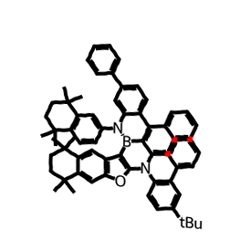 CC(C)(C)c1ccc(N2c3cc4ccccc4c4c3B(c3c2oc2cc5c(cc32)C(C)(C)CCC5(C)C)N(c2ccc3c(c2)C(C)(C)CCC3(C)C)c2cc(-c3ccccc3)ccc2-4)c(-c2ccccc2)c1